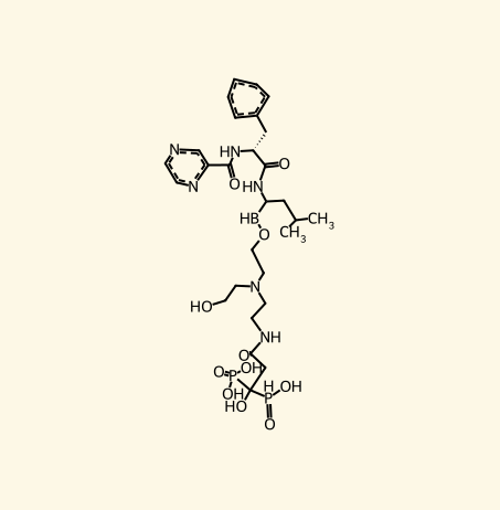 CC(C)CC(BOCCN(CCO)CCNC(=O)CC(O)([PH](=O)O)P(=O)(O)O)NC(=O)[C@@H](Cc1ccccc1)NC(=O)c1cnccn1